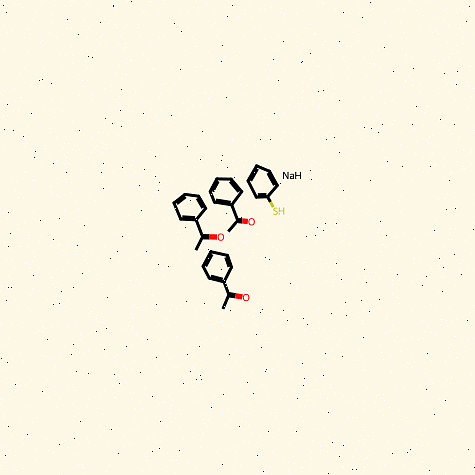 CC(=O)c1ccccc1.CC(=O)c1ccccc1.CC(=O)c1ccccc1.Sc1ccccc1.[NaH]